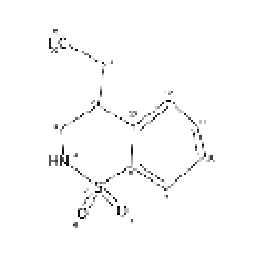 CCC1CNS(=O)(=O)c2ccccc21